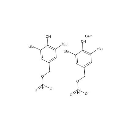 CC(C)(C)c1cc(CO[PH](=O)[O-])cc(C(C)(C)C)c1O.CC(C)(C)c1cc(CO[PH](=O)[O-])cc(C(C)(C)C)c1O.[Ca+2]